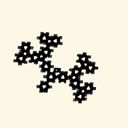 N#Cc1c(-c2ccc(-n3c4ccc(-n5c6ccccc6c6ccccc65)cc4c4cc(-n5c6ccccc6c6ccccc65)ccc43)cc2)cc(-c2cccnc2)cc1-c1ccc(-n2c3ccc(-n4c5ccccc5c5ccccc54)cc3c3cc(-n4c5ccccc5c5ccccc54)ccc32)cc1